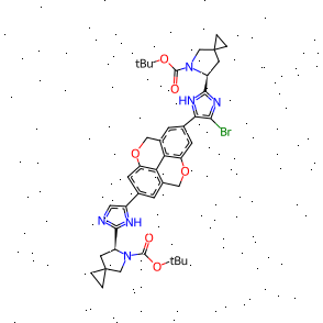 CC(C)(C)OC(=O)N1CC2(CC2)C[C@H]1c1ncc(-c2cc3c4c(c2)OCc2cc(-c5[nH]c([C@@H]6CC7(CC7)CN6C(=O)OC(C)(C)C)nc5Br)cc(c2-4)OC3)[nH]1